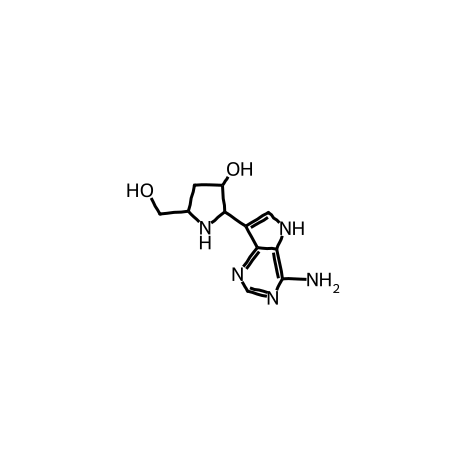 Nc1ncnc2c(C3NC(CO)CC3O)c[nH]c12